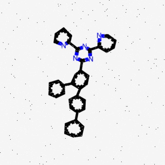 c1ccc(-c2ccc(-c3ccc(-c4nc(-c5ccccn5)nc(-c5ccccn5)n4)cc3-c3ccccc3)cc2)cc1